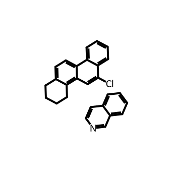 Clc1cc2c3c(ccc2c2ccccc12)CCCC3.c1ccc2cnccc2c1